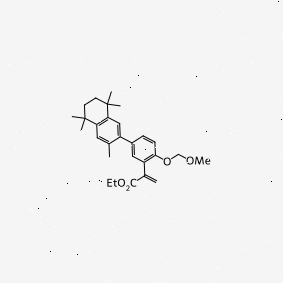 C=C(C(=O)OCC)c1cc(-c2cc3c(cc2C)C(C)(C)CCC3(C)C)ccc1OCOC